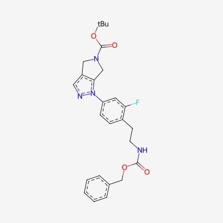 CC(C)(C)OC(=O)N1Cc2cnn(-c3ccc(CCNC(=O)OCc4ccccc4)c(F)c3)c2C1